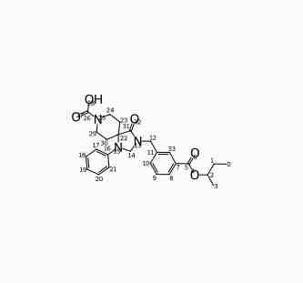 CCC(C)OC(=O)c1cccc(CN2CN(c3ccccc3)C3(CCN(C(=O)O)CC3)C2=O)c1